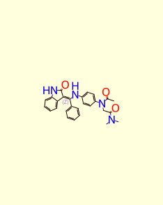 CC(=O)N(CC(=O)N(C)C)c1ccc(N/C(=C2\C(=O)Nc3ccccc32)c2ccccc2)cc1